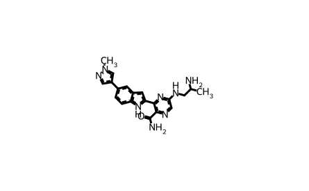 CC(N)CNc1cnc(C(N)=O)c(-c2cc3cc(-c4cnn(C)c4)ccc3[nH]2)n1